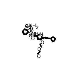 COCCOCCOc1cc(C(=O)NS(=O)(=O)c2ccccc2S(N)(=O)=O)cnc1C#CC1CCCC1